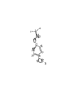 CC(C)=NOc1ccc(C(F)(F)F)cn1